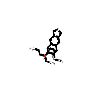 C=C/C=C\C1=C(C)C2C(N=C)=C(/N=C\C)C1c1cc3cocc3cc12